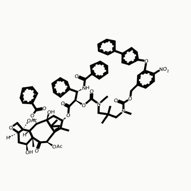 CC(=O)O[C@H]1C(=O)[C@@]2(C)[C@H]([C@H](OC(=O)c3ccccc3)[C@]3(O)C[C@H](OC(=O)[C@H](OC(=O)N(C)CC(C)(C)CN(C)C(=O)OCc4ccc([N+](=O)[O-])c(Oc5ccc(-c6ccccc6)cc5)c4)[C@@H](NC(=O)c4ccccc4)c4ccccc4)C(C)=C1C3(C)C)[C@]1(OC(C)=O)CO[C@@H]1C[C@@H]2O